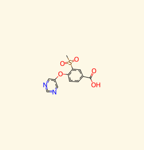 CS(=O)(=O)c1cc(C(=O)O)ccc1Oc1cncnc1